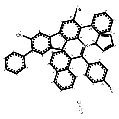 CC(C)(C)c1cc2c(cc1-c1ccccc1)Cc1c-2cc(C(C)(C)C)c(-c2ccccc2)[c]1[Zr+2](=[C](c1ccc(Cl)cc1)c1cccc2ccccc12)[CH]1C=CC=C1.[Cl-].[Cl-]